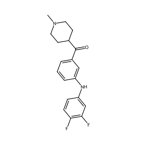 CN1CCC(C(=O)c2cccc(Nc3ccc(F)c(F)c3)c2)CC1